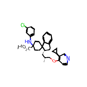 C[C@@H](COc1ccncc1C1CC1)C[C@H]1Cc2ccccc2C12CCC(Nc1cccc(Cl)c1)(C(=O)O)CC2